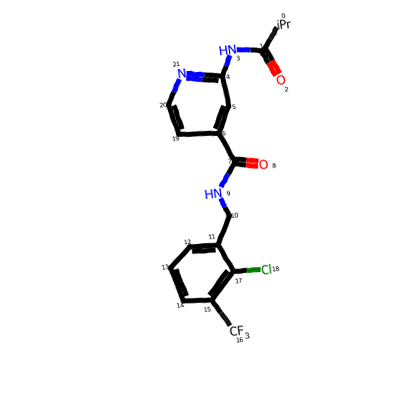 CC(C)C(=O)Nc1cc(C(=O)NCc2cccc(C(F)(F)F)c2Cl)ccn1